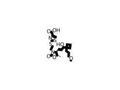 COCCCC1([C@H](O)/C=C/[C@H]2[C@H](C)OC(=O)N2CCSc2nc(C(=O)O)cs2)CCC1